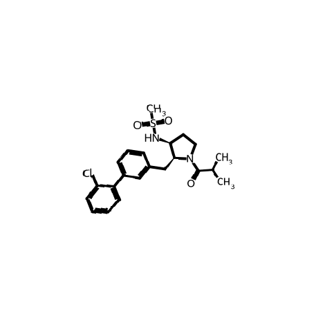 CC(C)C(=O)N1CC[C@H](NS(C)(=O)=O)[C@@H]1Cc1cccc(-c2ccccc2Cl)c1